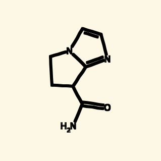 NC(=O)C1CCn2ccnc21